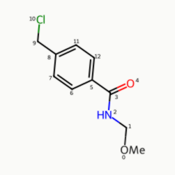 COCNC(=O)c1ccc(CCl)cc1